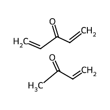 C=CC(=O)C=C.C=CC(C)=O